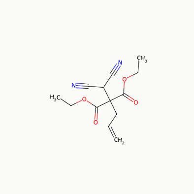 C=CCC(C(=O)OCC)(C(=O)OCC)C(C#N)C#N